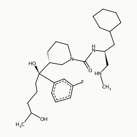 CNC[C@H](CC1CCCCC1)NC(=O)N1CCC[C@@H]([C@@](O)(CCCC(C)O)c2cccc(F)c2)C1